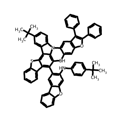 CC(C)(C)c1ccc(Nc2cc3oc4ccccc4c3cc2-c2c3c4c(c5cc(C(C)(C)C)ccc5n4-c4cc5c(-c6ccccc6)c(-c6ccccc6)oc5cc4B3)c3sc4ccccc4c23)cc1